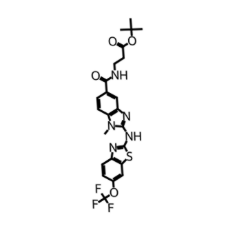 Cn1c(Nc2nc3ccc(OC(F)(F)F)cc3s2)nc2cc(C(=O)NCCC(=O)OC(C)(C)C)ccc21